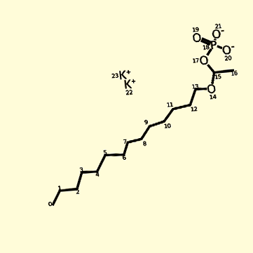 CCCCCCCCCCCCCCOC(C)OP(=O)([O-])[O-].[K+].[K+]